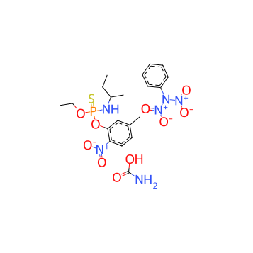 CCOP(=S)(NC(C)CC)Oc1cc(C)ccc1[N+](=O)[O-].NC(=O)O.O=[N+]([O-])N(c1ccccc1)[N+](=O)[O-]